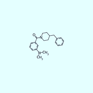 CN(C)c1cccc(C(=O)N2CCC(Cc3ccccc3)CC2)c1